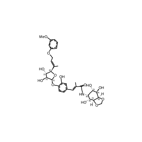 COc1cccc(OCC=C(C)[C@H]2O[C@@H](Oc3ccc(C=C(C)C(=O)N[C@@H]4[C@H](O)[C@@H](O)[C@H]5OCO[C@H]5[C@@H]4O)cc3O)[C@@H](O)[C@@H]2O)c1